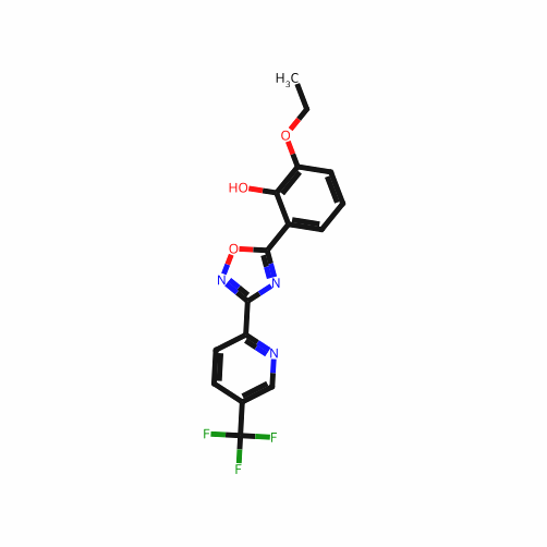 CCOc1cccc(-c2nc(-c3ccc(C(F)(F)F)cn3)no2)c1O